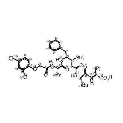 CC[C@H](C)[C@H](NC(=O)C[C@H](N)[C@H](Cc1ccccc1)NC(=O)[C@@H](NC(=O)COc1ccc(Cl)cc1Cl)C(C)C)C(=O)N[C@H](C(=O)O)C(C)C